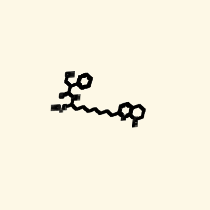 O=C(O)C(CCCCCCCc1ccc2c(n1)NCCC2)NC(=O)C(CO)c1ccccc1